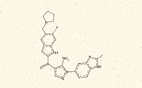 Cc1nc2cc(-n3ncc(C(=O)c4cc5cc(CN6CCCC6)c(F)cc5[nH]4)c3N)ccc2[nH]1